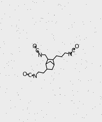 O=C=NCCCC1C2CC(CCN=C=O)C(C2)C1CN=C=O